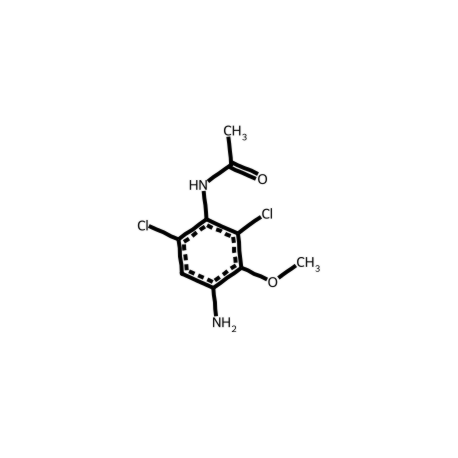 COc1c(N)cc(Cl)c(NC(C)=O)c1Cl